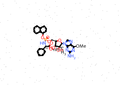 CCCOC(=O)[C@@H](NP(=O)(OC[C@H]1OC(n2cnc3c(OC)nc(N)nc32)[C@](C)(O)[C@@H]1O)Oc1cccc2ccccc12)c1ccccc1